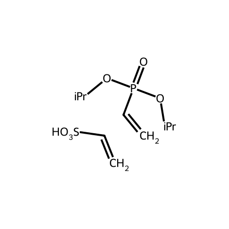 C=CP(=O)(OC(C)C)OC(C)C.C=CS(=O)(=O)O